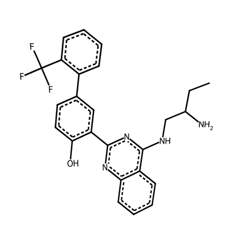 CCC(N)CNc1nc(-c2cc(-c3ccccc3C(F)(F)F)ccc2O)nc2ccccc12